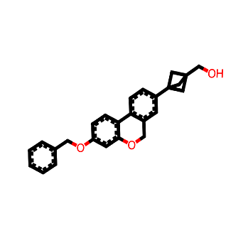 OCC12CC(c3ccc4c(c3)COc3cc(OCc5ccccc5)ccc3-4)(C1)C2